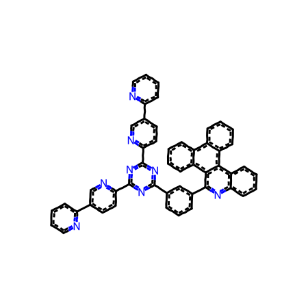 c1ccc(-c2ccc(-c3nc(-c4cccc(-c5nc6ccccc6c6c7ccccc7c7ccccc7c56)c4)nc(-c4ccc(-c5ccccn5)cn4)n3)nc2)nc1